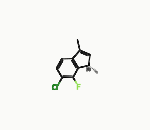 CC1=C[C@H](C)c2c1ccc(Cl)c2F